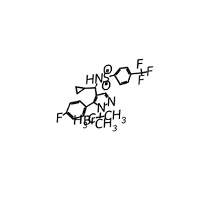 CC(C)(C)n1ncc([C@H](NS(=O)(=O)c2ccc(C(F)(F)F)cc2)C2CC2)c1-c1ccc(F)cc1Br